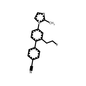 Cc1nccn1-c1ccc(-c2ccc(C#N)cc2)c(CCF)c1